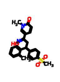 Cc1ccccc1C(C/C(=N\O)c1ccc(=O)n(C)c1)c1ccc(S(C)(=O)=O)cc1